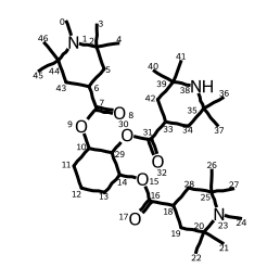 CN1C(C)(C)CC(C(=O)OC2CCCC(OC(=O)C3CC(C)(C)N(C)C(C)(C)C3)C2OC(=O)C2CC(C)(C)NC(C)(C)C2)CC1(C)C